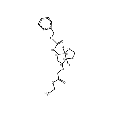 CCOC(=O)CO[C@H]1C[C@@H](NC(=O)OCc2ccccc2)[C@@H]2OCO[C@@H]21